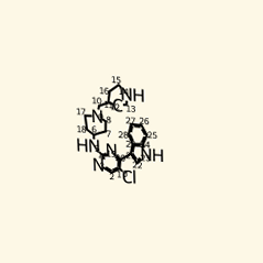 Clc1cnc(NC2CCN(CC3CCNCC3)CC2)nc1-c1c[nH]c2ccccc12